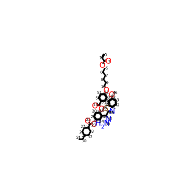 C=CC(=O)OCCCCCCOc1ccc(C(=O)Oc2ccc(OC(=O)C3CCC(CC)CC3)cc2C(=NN)c2nc3ccc(OC)cc3s2)cc1